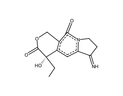 CC[C@@]1(O)C(=O)OCc2c1cc1n(c2=O)CCC1=N